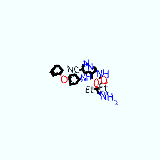 CCC(CC)(CN)OC(=O)Nc1cn2ncc(C#N)c(Nc3ccc(Oc4ccccc4)cc3)c2c1C